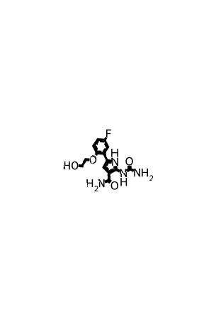 NC(=O)Nc1[nH]c(-c2cc(F)ccc2OCCO)cc1C(N)=O